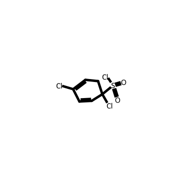 O=S(=O)(Cl)C1(Cl)C=CC(Cl)=CC1